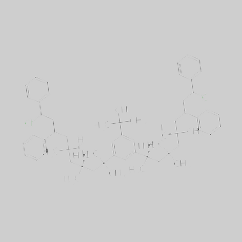 CC(C)(CC(CC(Cl)c1ccccc1)c1ccccc1)CC(C)(C)CC(C)(C)c1cc(C(C)(C)C)cc(C(C)(C)CC(C)(C)CC(C)(C)CC(CC(Cl)c2ccccc2)c2ccccc2)c1